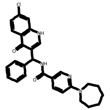 O=C(NC(c1ccccc1)c1c[nH]c2cc(Cl)ccc2c1=O)c1ccc(N2CCCCCC2)nc1